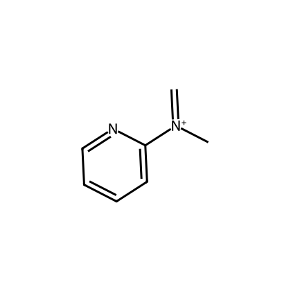 C=[N+](C)c1ccccn1